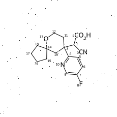 N#CC(C(=O)O)C1(c2ccc(F)cn2)CCOC2(CCCC2)C1